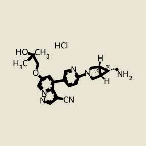 CC(C)(O)COc1cc(-c2ccc(N3C[C@@H]4[C@H](CN)[C@@H]4C3)nc2)c2c(C#N)cnn2c1.Cl